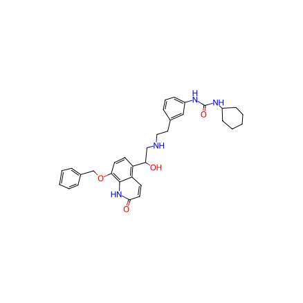 O=C(Nc1cccc(CCNCC(O)c2ccc(OCc3ccccc3)c3[nH]c(=O)ccc23)c1)NC1CCCCC1